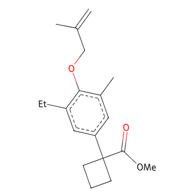 C=C(C)COc1c(C)cc(C2(C(=O)OC)CCC2)cc1CC